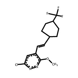 COc1nnc(Cl)cc1/C=C/C1CCC(C(F)(F)F)CC1